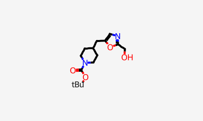 CC(C)(C)OC(=O)N1CCC(Cc2cnc(CO)o2)CC1